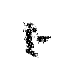 CN(C)CC[C@H](CSc1ccccc1)Nc1ccc(S(=O)(=O)NC(=O)c2ccc3c(c2)CC[C@H]2CN(Cc4ccccc4-c4ccc(Cl)cc4)CCN32)cc1[N+](=O)[O-].O=C(O)C(F)(F)F.O=C(O)C(F)(F)F